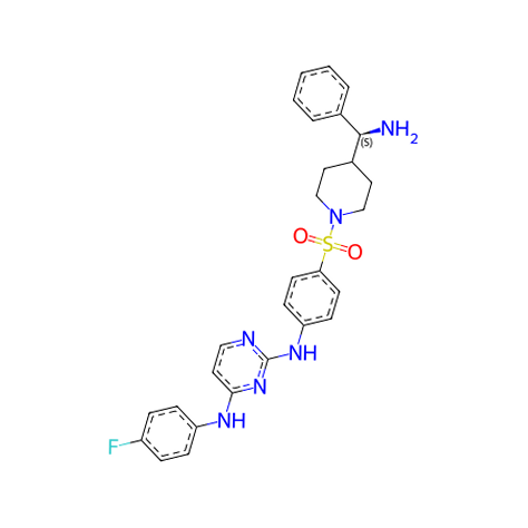 N[C@H](c1ccccc1)C1CCN(S(=O)(=O)c2ccc(Nc3nccc(Nc4ccc(F)cc4)n3)cc2)CC1